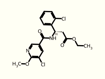 CCOC(=O)C[C@H](NC(=O)c1cnc(OC)c(Cl)c1)c1ccccc1Cl